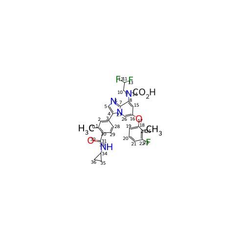 Cc1cc(-c2cnc3c(N(CC(F)F)C(=O)O)cc(Oc4cccc(F)c4C)cn23)ccc1C(=O)NC1CC1